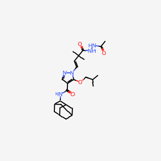 CC(=O)NNC(=O)C(C)(C)/C=C/n1ncc(C(=O)NC2C3CC4CC(C3)CC2C4)c1OCC(C)C